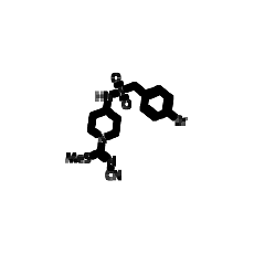 CS/C(=N\C#N)N1CCC(NS(=O)(=O)Cc2ccc(Br)cc2)CC1